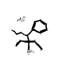 CCCC(c1ccccc1)C(N)(CC)CC.O